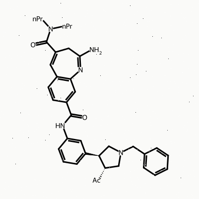 CCCN(CCC)C(=O)C1=Cc2ccc(C(=O)Nc3cccc([C@H]4CN(Cc5ccccc5)C[C@@H]4C(C)=O)c3)cc2N=C(N)C1